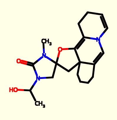 CC(O)N1CC2(CC34CCCCC3=CN3C=CCCC3=C4O2)N(C)C1=O